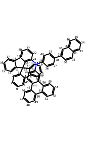 c1ccc2c(c1)-c1ccccc1C21c2ccccc2-c2cccc(N(c3ccc(-c4ccc5ccccc5c4)cc3)c3ccc4c5ccccc5c5ccccc5c4c3)c21